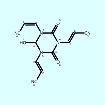 N#C/C=C\N1C(=O)N(/C=C/C#N)C(=O)N(/C=C/C#N)C1O